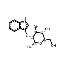 OC[C@H]1O[C@@H](O)[C@H](Oc2c[nH]c3ccccc23)[C@@H](O)[C@@H]1O